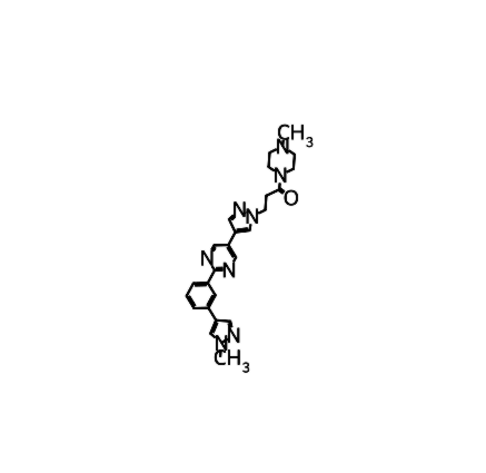 CN1CCN(C(=O)CCn2cc(-c3cnc(-c4cccc(-c5cnn(C)c5)c4)nc3)cn2)CC1